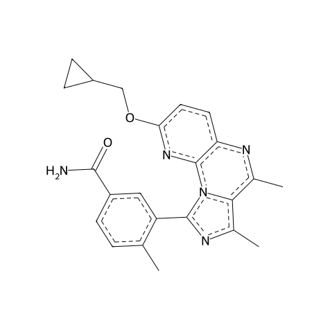 Cc1ccc(C(N)=O)cc1-c1nc(C)c2c(C)nc3ccc(OCC4CC4)nc3n12